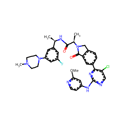 COc1cc(Nc2ncc(Cl)c(-c3ccc4c(c3)C(=O)N([C@H](C)C(=O)N[C@H](C)c3cc(F)cc(N5CCN(C)CC5)c3)C4)n2)ccn1